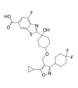 O=C(O)c1cc(F)c2nc(C3(O)CCC(OCc4c(C5CCC(F)(F)CC5)noc4C4CC4)CC3)sc2c1